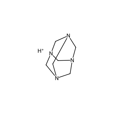 C1N2CN3CN1CN(C2)C3.[H+]